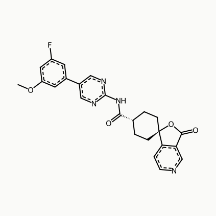 COc1cc(F)cc(-c2cnc(NC(=O)[C@H]3CC[C@@]4(CC3)OC(=O)c3cnccc34)nc2)c1